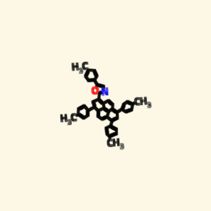 Cc1ccc(-c2cnc(-c3cc(-c4ccc(C)cc4)c4ccc5c(-c6ccc(C)cc6)cc(-c6ccc(C)cc6)c6ccc3c4c56)o2)cc1